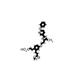 Cc1sc(-c2ccc(Oc3ccccc3)nc2)nc1CCOc1ccc(CCC(=O)O)c(CCC(=O)OC(C)C)c1